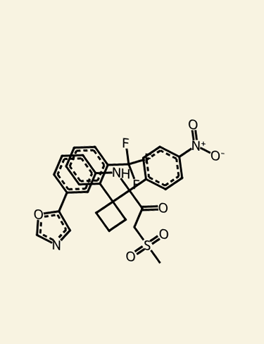 CS(=O)(=O)CC(=O)C(Nc1cccc(-c2cnco2)c1)(c1ccc([N+](=O)[O-])cc1)C1(c2ccccc2C(F)(F)F)CCC1